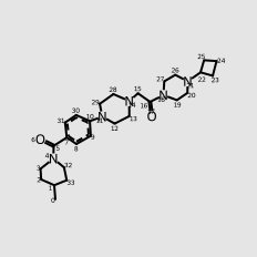 CC1CCN(C(=O)c2ccc(N3CCN(CC(=O)N4CCN(C5CCC5)CC4)CC3)cc2)CC1